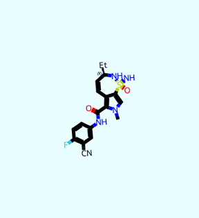 CC[C@@H]1C=Cc2c(cn(C)c2C(=O)Nc2ccc(F)c(C#N)c2)S(=N)(=O)N1